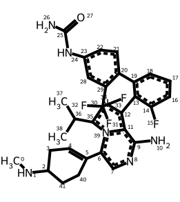 CNC1CC=C(c2cnc(N)c3c(-c4c(F)cccc4-c4ccc(NC(N)=O)cc4C(F)(F)F)nc(C(C)C)n23)CC1